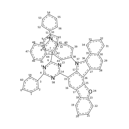 c1ccc(-c2nc(-c3ccccc3)nc(-c3cc4c5ccccc5oc4c4c5ccc6ccccc6c5n(-c5ccc6c(c5)c5ccccc5n6-c5ccccc5)c34)n2)cc1